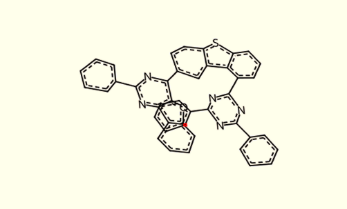 c1ccc(-c2nc(-c3ccccc3)nc(-c3cccc4sc5ccc(-c6nc(-c7ccccc7)nc7c6oc6ccccc67)cc5c34)n2)cc1